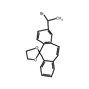 CC(Br)c1ccc2c(c1)C=Cc1ccccc1C21OCCO1